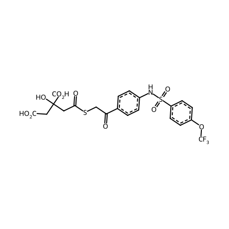 O=C(O)CC(O)(CC(=O)SCC(=O)c1ccc(NS(=O)(=O)c2ccc(OC(F)(F)F)cc2)cc1)C(=O)O